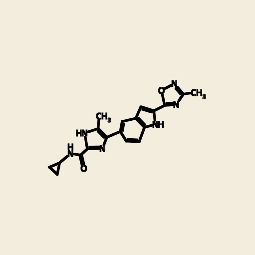 Cc1noc(-c2cc3cc(-c4nc(C(=O)NC5CC5)[nH]c4C)ccc3[nH]2)n1